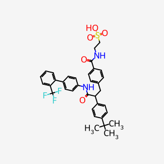 CC(C)(C)c1ccc(C(Cc2ccc(C(=O)NCCS(=O)(=O)O)cc2)C(=O)Nc2ccc(-c3ccccc3C(F)(F)F)cc2)cc1